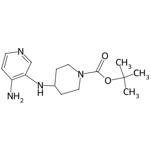 CC(C)(C)OC(=O)N1CCC(Nc2cnccc2N)CC1